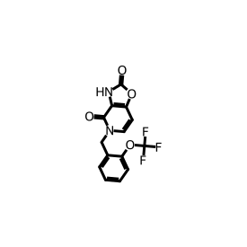 O=c1[nH]c2c(=O)n(Cc3ccccc3OC(F)(F)F)ccc2o1